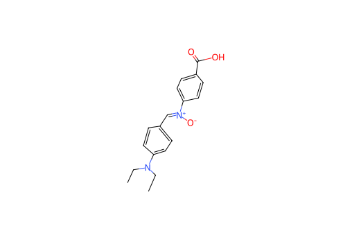 CCN(CC)c1ccc(C=[N+]([O-])c2ccc(C(=O)O)cc2)cc1